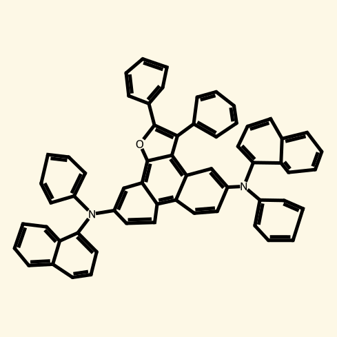 c1ccc(-c2oc3c4cc(N(c5ccccc5)c5cccc6ccccc56)ccc4c4ccc(N(c5ccccc5)c5cccc6ccccc56)cc4c3c2-c2ccccc2)cc1